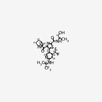 C[C@H](CO)NC(=O)c1nc(C(=O)N2C3CCC2CC3)c(-c2cnc(N[C@@H](C)C(F)(F)F)cc2C(F)F)s1